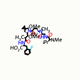 CC[C@H](C)[C@@H](C(CC(=O)N1CC2(CC2)C[C@H]1[C@H](OC)[C@@H](C)C(=O)N[C@@H](Cc1ccccc1F)C(=O)O)OC)N(C)C(=O)CNC(=O)[C@@H](NC)C(C)C